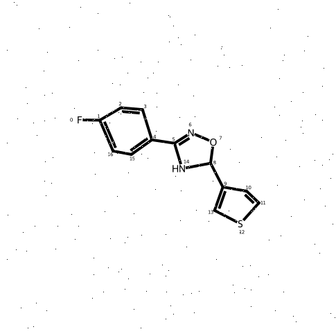 Fc1ccc(C2=NOC(c3ccsc3)N2)cc1